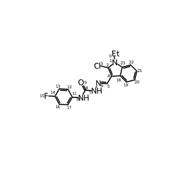 CCn1c(Cl)c(C=NNC(=O)Nc2ccc(F)cc2)c2ccccc21